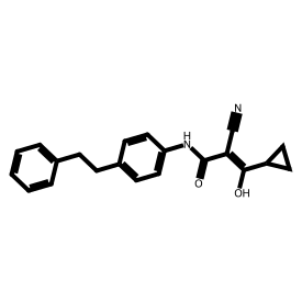 N#C/C(C(=O)Nc1ccc(CCc2ccccc2)cc1)=C(/O)C1CC1